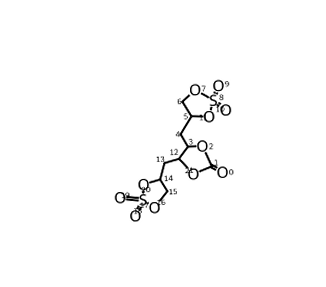 O=C1OC(CC2COS(=O)(=O)O2)C(CC2COS(=O)(=O)O2)O1